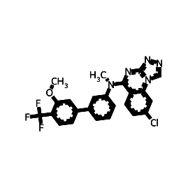 COc1cc(-c2cccc(N(C)c3nc4nncn4c4cc(Cl)ccc34)c2)ccc1C(F)(F)F